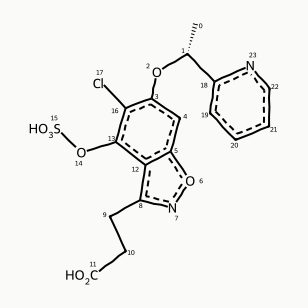 C[C@@H](Oc1cc2onc(CCC(=O)O)c2c(OS(=O)(=O)O)c1Cl)c1ccccn1